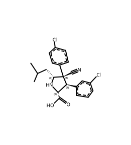 CC(C)C[C@H]1N[C@@H](C(=O)O)[C@H](c2cccc(Cl)c2)[C@@]1(C#N)c1ccc(Cl)cc1